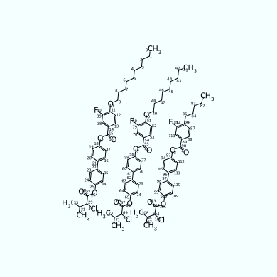 CCCCCCCCCCOc1ccc(C(=O)Oc2ccc(-c3ccc(OC(=O)C(Cl)C(C)C)cc3)cc2)cc1F.CCCCCCCCCOc1ccc(C(=O)Oc2ccc(-c3ccc(OC(=O)C(Cl)C(C)C)cc3)cc2)cc1F.CCCCCc1ccc(C(=O)Oc2ccc(-c3ccc(OC(=O)C(Cl)C(C)C)cc3)cc2)cc1F